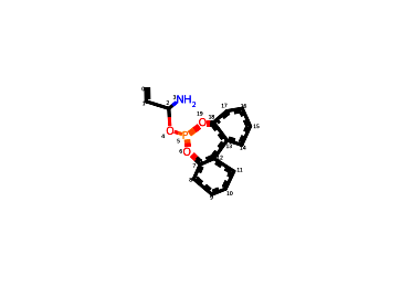 C=CC(N)Op1oc2ccccc2c2ccccc2o1